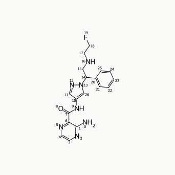 Nc1nccnc1C(=O)Nc1cnn(C(CNCCF)c2ccccc2)c1